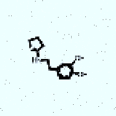 Oc1ccc(CCNC2=NCCC2)cc1O